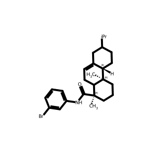 CC(C)C1CC[C@H]2C(=CCC3[C@](C)(C(=O)Nc4cccc(Br)c4)CCC[C@@]32C)C1